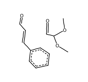 COC(C=O)OC.O=CC=Cc1ccccc1